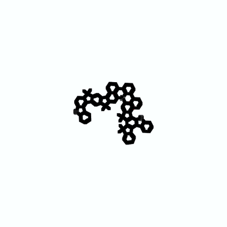 CC1(C)c2cc(N(c3ccc4c(c3)C(C)(C)c3c5c(c6c(oc7ccccc76)c3-4)-c3ccccc3C5(C)C)c3c(-c4ccccc4)cccc3-c3ccccc3)ccc2-c2cc3c(cc21)-c1c(ccc2oc4ccccc4c12)C3(C)C